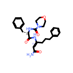 NC(=O)/C=C(\CCCc1ccccc1)NC(=O)[C@H](Cc1ccccc1)NC(=O)N1CCOCC1